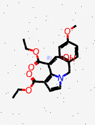 CCOC(=O)/C(=C/O)c1c(C(=O)OCC)ccn1Cc1ccc(OC)cc1